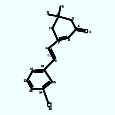 CC1(C)CC(=O)C=C(/C=C/c2cccc(Cl)c2)C1